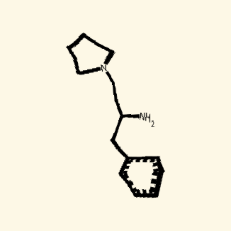 NC(CCN1CCCC1)Cc1ccccc1